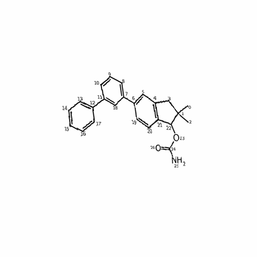 CC1(C)Cc2cc(-c3cccc(-c4ccccc4)c3)ccc2C1OC(N)=O